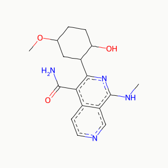 CNc1nc(C2CC(OC)CCC2O)c(C(N)=O)c2ccncc12